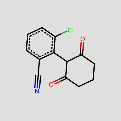 N#Cc1cccc(Cl)c1C1C(=O)CCCC1=O